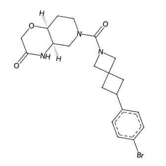 O=C1CO[C@H]2CCN(C(=O)N3CC4(CC(c5ccc(Br)cc5)C4)C3)C[C@H]2N1